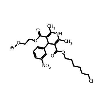 CC1=C(C(=O)OCCCCCCCl)C(c2cccc([N+](=O)[O-])c2)C(C(=O)OCCOC(C)C)=C(C)N1